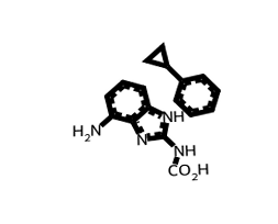 Nc1cccc2[nH]c(NC(=O)O)nc12.c1ccc(C2CC2)cc1